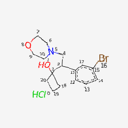 Cl.OC1(C(CN2CCOCC2)c2cccc(Br)c2)CCC1